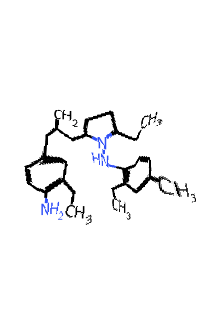 C=C(Cc1ccc(N)c(CC)c1)CC1CCC(CC)N1Nc1ccc(C)cc1CC